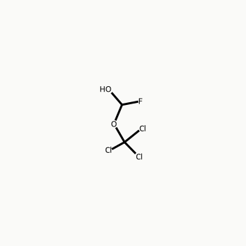 OC(F)OC(Cl)(Cl)Cl